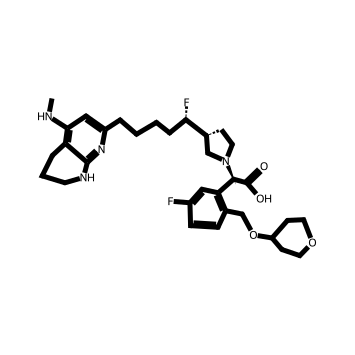 CNc1cc(CCCC[C@H](F)[C@@H]2CCN([C@@H](C(=O)O)c3cc(F)ccc3COC3CCOCC3)C2)nc2c1CCCN2